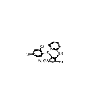 Cn1nc(Cl)c(Nc2ccccn2)c1Sc1ccc(Cl)cc1Cl